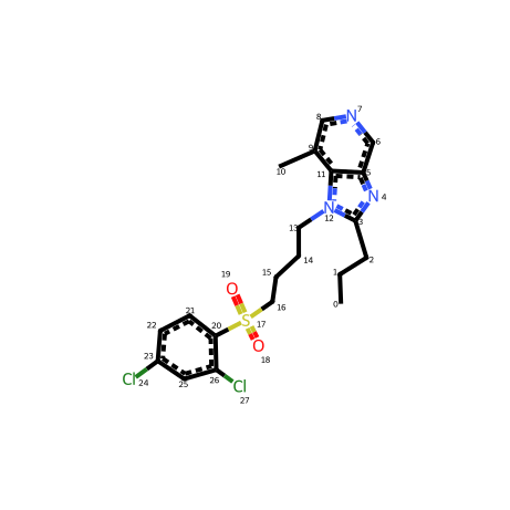 CCCc1nc2cncc(C)c2n1CCCCS(=O)(=O)c1ccc(Cl)cc1Cl